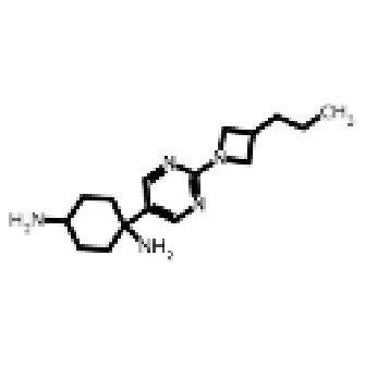 CCCC1CN(c2ncc(C3(N)CCC(N)CC3)cn2)C1